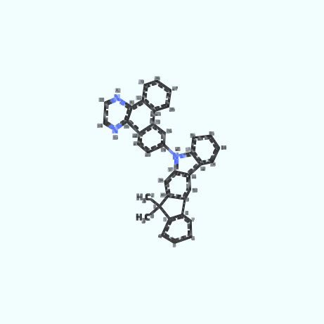 CC1(C)c2ccccc2-c2cc3c4ccccc4n(-c4ccc5c(c4)c4ccccc4c4nccnc54)c3cc21